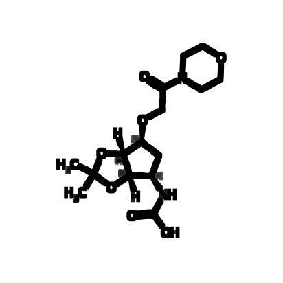 CC1(C)O[C@@H]2[C@H](O1)[C@@H](OCC(=O)N1CCOCC1)C[C@H]2NC(=O)O